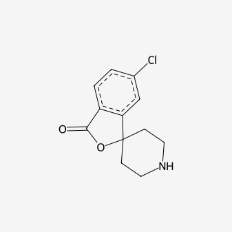 O=C1OC2(CCNCC2)c2cc(Cl)ccc21